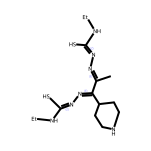 CCN/C(S)=N/N=C(C)/C(=N/N=C(\S)NCC)C1CCNCC1